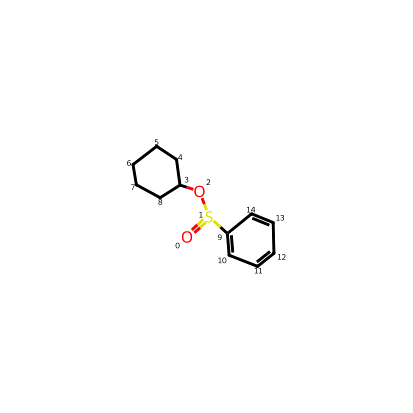 O=S(OC1CCCCC1)c1ccccc1